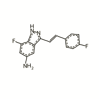 Nc1cc(F)c2[nH]nc(C=Cc3ccc(F)cc3)c2c1